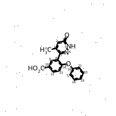 Cc1cc(=O)[nH]nc1-c1cc(C(=O)O)ccc1Oc1ccccc1